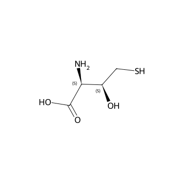 N[C@H](C(=O)O)[C@H](O)CS